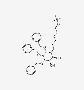 C[Si](C)(C)OCCCCCO[C@H]1[C@@H](O)[C@@H](O)[C@H](OCc2ccccc2)[C@@H](OCc2ccccc2)[C@@H]1OCc1ccccc1